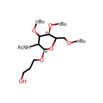 CCCCOCC1O[C@@H](OCCCO)C(NC(C)=O)C(OCCCC)[C@H]1OCCCC